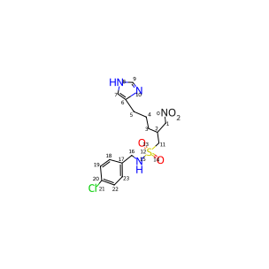 O=[N+]([O-])CC(CCCc1c[nH]cn1)CS(=O)(=O)NCc1ccc(Cl)cc1